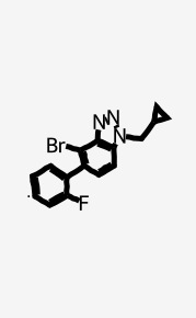 Fc1c[c]ccc1-c1ccc2c(nnn2CC2CC2)c1Br